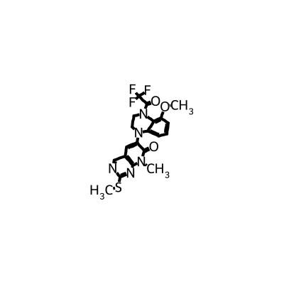 COc1cccc2c1N(C(=O)C(F)(F)F)CCN2c1cc2cnc(SC)nc2n(C)c1=O